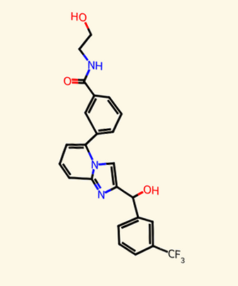 O=C(NCCO)c1cccc(-c2cccc3nc(C(O)c4cccc(C(F)(F)F)c4)cn23)c1